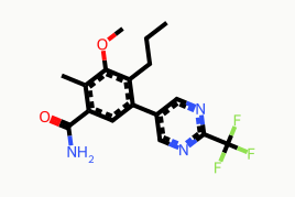 CCCc1c(-c2cnc(C(F)(F)F)nc2)cc(C(N)=O)c(C)c1OC